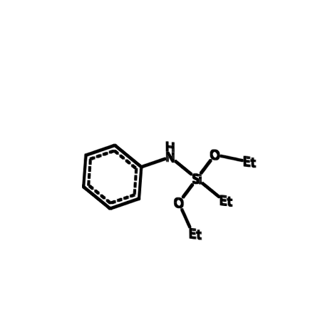 CCO[Si](CC)(Nc1ccccc1)OCC